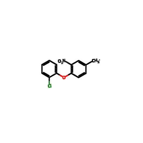 [CH2]c1ccc(Oc2ccccc2Cl)c([N+](=O)[O-])c1